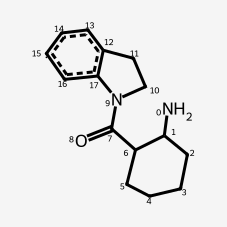 NC1CCCCC1C(=O)N1CCc2cc[c]cc21